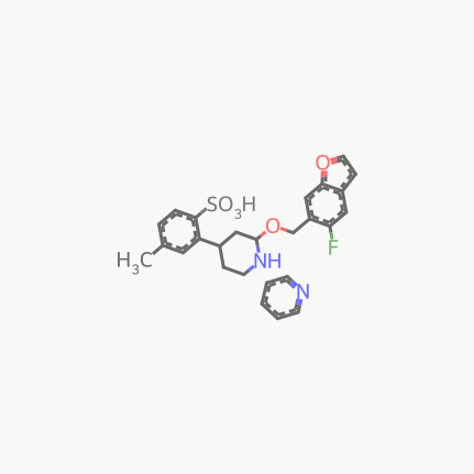 Cc1ccc(S(=O)(=O)O)c(C2CCNC(OCc3cc4occc4cc3F)C2)c1.c1ccncc1